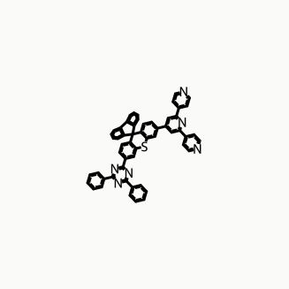 c1ccc(-c2nc(-c3ccccc3)nc(-c3ccc4c(c3)Sc3cc(-c5cc(-c6ccncc6)nc(-c6ccncc6)c5)ccc3C43c4ccccc4-c4ccccc43)n2)cc1